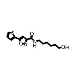 O=C(NCCCCCCO)c1cc(-c2cccs2)on1